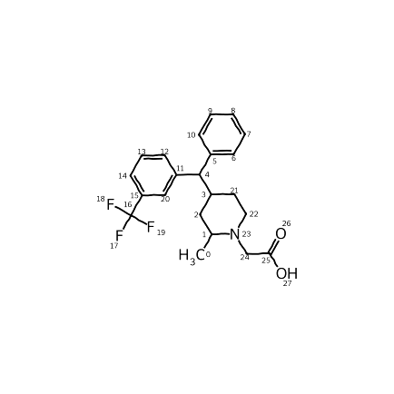 CC1CC(C(c2ccccc2)c2cccc(C(F)(F)F)c2)CCN1CC(=O)O